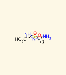 N=S(=O)(CCC(N)C(=O)O)CCC1(C(N)=O)CCC1